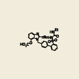 CCCCc1nc2cccc(OC(=O)O)c2n1Cc1ccc(-c2ccccc2S(=O)(=O)NC(=O)NCC)cc1